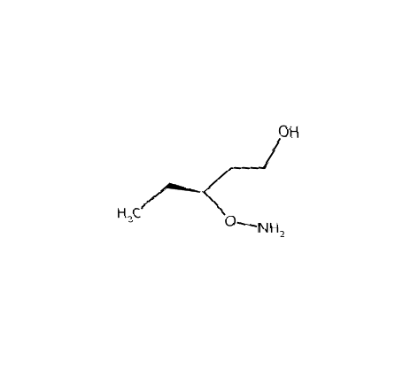 CC[C@@H](CCO)ON